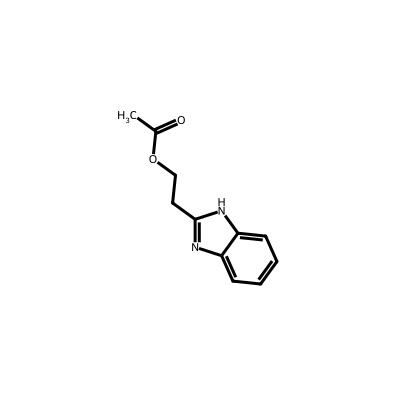 CC(=O)OCCc1nc2ccccc2[nH]1